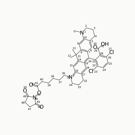 CN1CCCc2cc3c(cc21)C(C)(C)c1cc2c(cc1=C3c1c(Cl)ccc(Cl)c1C(=O)O)CCC[N+]=2CCCCCC(=O)ON1C(=O)CCC1=O